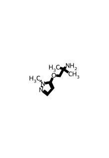 Cn1nccc1OCC(C)(C)N